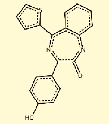 O=c1nc2ccccc2c(-c2cccs2)nc1-c1ccc(O)cc1